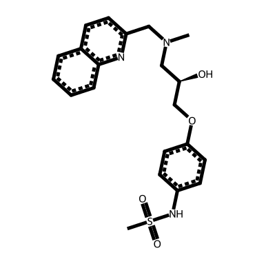 CN(Cc1ccc2ccccc2n1)C[C@@H](O)COc1ccc(NS(C)(=O)=O)cc1